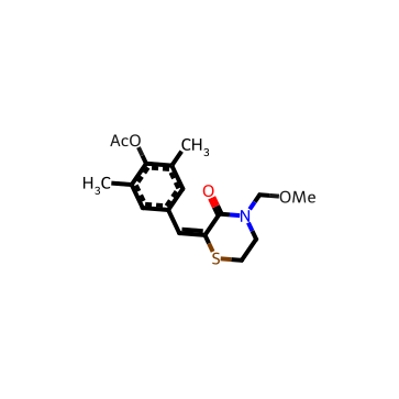 COCN1CCS/C(=C/c2cc(C)c(OC(C)=O)c(C)c2)C1=O